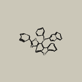 c1ccc(-c2nc3cc4oc5ccccc5c4c(N(c4ccccc4)c4ccc5ccccc5c4)c3o2)cc1